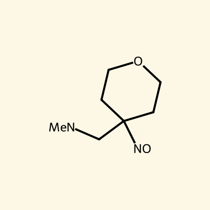 CNCC1(N=O)CCOCC1